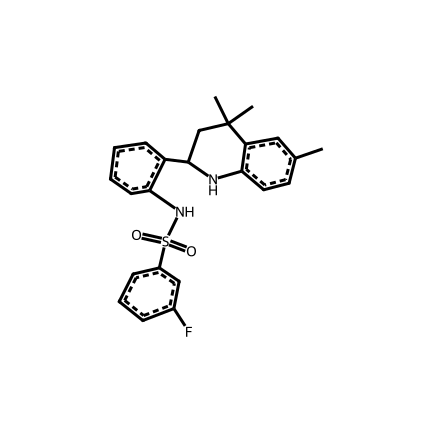 Cc1ccc2c(c1)C(C)(C)CC(c1ccccc1NS(=O)(=O)c1cccc(F)c1)N2